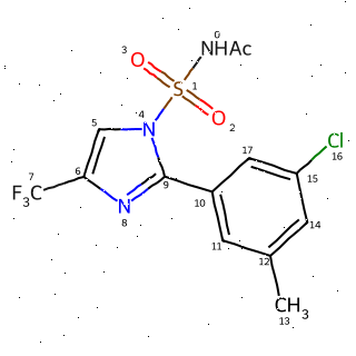 CC(=O)NS(=O)(=O)n1cc(C(F)(F)F)nc1-c1cc(C)cc(Cl)c1